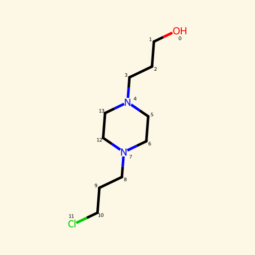 OCCCN1CCN(CCCCl)CC1